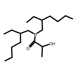 CCCCC(CC)CN(CC(CC)CCCC)C(=O)C(C)O